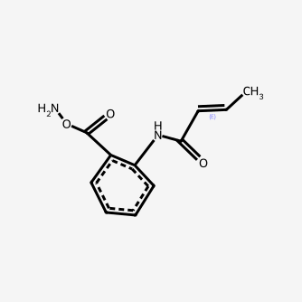 C/C=C/C(=O)Nc1ccccc1C(=O)ON